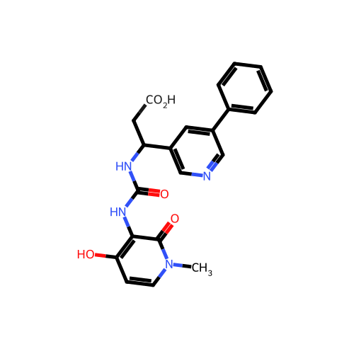 Cn1ccc(O)c(NC(=O)NC(CC(=O)O)c2cncc(-c3ccccc3)c2)c1=O